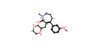 COc1cccc(C2=C(CC3COCCO3)C(=O)N(C)CCC2)c1